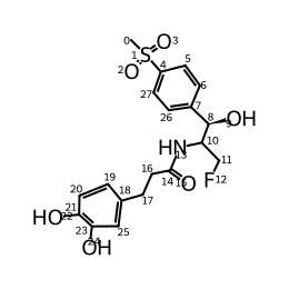 CS(=O)(=O)c1ccc([C@@H](O)C(CF)NC(=O)CCc2ccc(O)c(O)c2)cc1